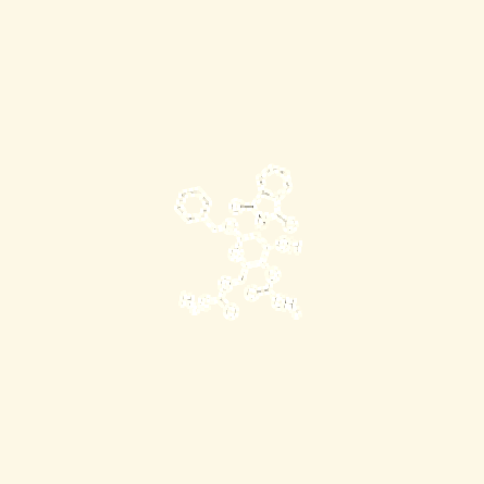 CC(=O)OC[C@H]1OC(OCc2ccccc2)[C@H](N2C(=O)c3ccccc3C2=O)[C@H](O)[C@@H]1OC(C)=O